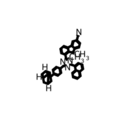 CC1(C)c2ccc(C#N)cc2-c2cccc(-c3nc(-c4ccc(C56C[C@H]7C[C@@H](C5)C[C@@H](C6)C7)cc4)nc(-c4cccc5ccccc45)n3)c21